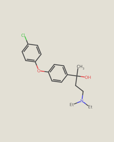 CCN(CC)CCC(C)(O)c1ccc(Oc2ccc(Cl)cc2)cc1